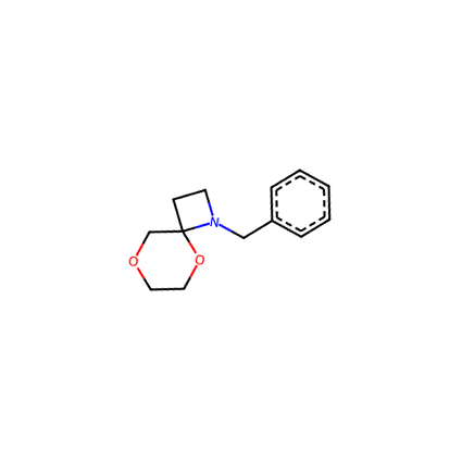 c1ccc(CN2CCC23COCCO3)cc1